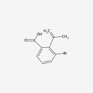 C=C(C)c1c(Br)cccc1C(=O)O